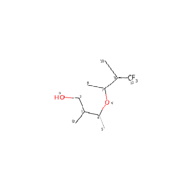 CC(CO)C(C)OC(C)C(C)C(F)(F)F